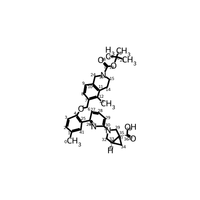 Cc1ccc(OCc2ccc3c(c2C)CCN(C(=O)OC(C)(C)C)C3)c(-c2cccc(N3C[C@@H]4C[C@]4(C(=O)O)C3)n2)c1